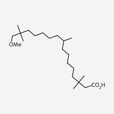 COCC(C)(C)CCCCCC(C)CCCCCC(C)(C)CC(=O)O